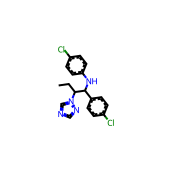 CCC(C(Nc1ccc(Cl)cc1)c1ccc(Cl)cc1)n1cncn1